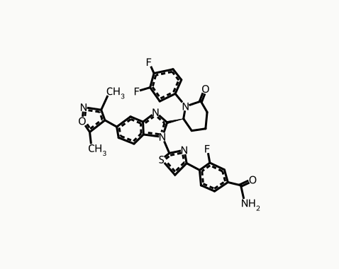 Cc1noc(C)c1-c1ccc2c(c1)nc([C@@H]1CCCC(=O)N1c1ccc(F)c(F)c1)n2-c1nc(-c2ccc(C(N)=O)cc2F)cs1